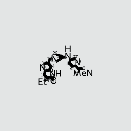 C=C(NC)c1ccc(NC2C3CN(Cc4cnc5cc(CC)c(=O)[nH]c5c4)CC32)cn1